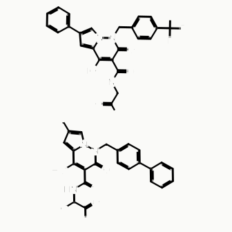 CC(NC(=O)c1c(O)c2cc(Cl)cn2n(Cc2ccc(-c3ccccc3)cc2)c1=O)C(=O)O.O=C(O)CNC(=O)c1c(O)c2cc(-c3ccccc3)cn2n(Cc2ccc(C(F)(F)F)cc2)c1=O